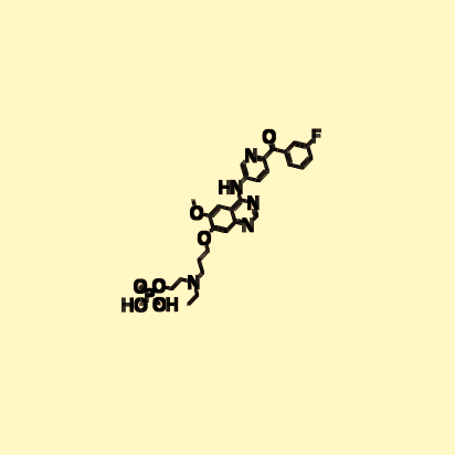 CCN(CCCOc1cc2ncnc(Nc3ccc(C(=O)c4cccc(F)c4)nc3)c2cc1OC)CCOP(=O)(O)O